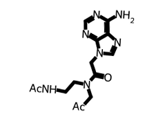 CC(=O)CN(CCNC(C)=O)C(=O)Cn1cnc2c(N)ncnc21